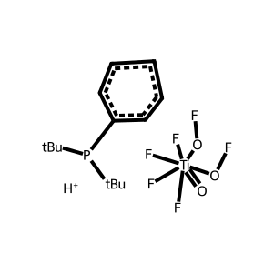 CC(C)(C)P(c1ccccc1)C(C)(C)C.[H+].[O]=[Ti]([F])([F])([F])([F])([O]F)[O]F